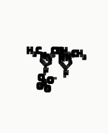 Cn1cc(F)c[n+]1C.Cn1cc(F)c[n+]1C.O=S(=O)([O-])[O-]